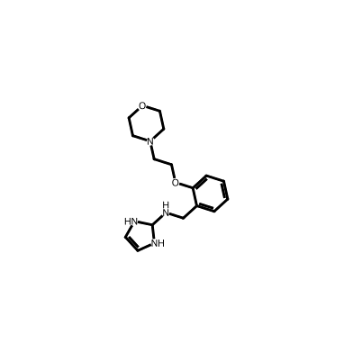 C1=CNC(NCc2ccccc2OCCN2CCOCC2)N1